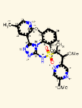 COc1cnc(C(OC)C(C)S(=O)(=O)Nc2nnc(-c3cncc(C)c3)n2-c2c(OC)cccc2OC)cn1